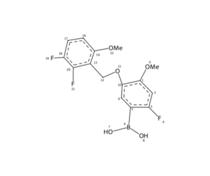 COc1cc(F)c(B(O)O)cc1OCc1c(OC)ccc(F)c1F